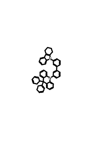 C1=CCCC(C2(C3C=CC=CC3)c3ccccc3N(c3cccc(-c4cccc(-n5c6c(c7ccccc75)CCCC6)c4)c3)c3ccccc32)=C1